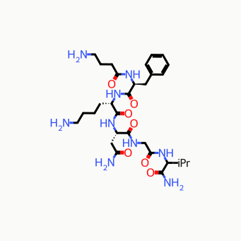 CC(C)C(NC(=O)CNC(=O)[C@H](CC(N)=O)NC(=O)[C@H](CCCCN)NC(=O)[C@H](Cc1ccccc1)NC(=O)CCCN)C(N)=O